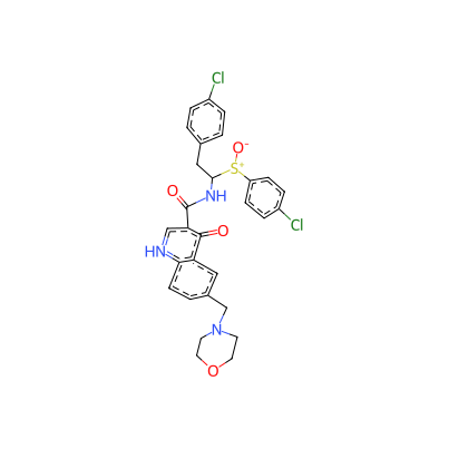 O=C(NC(Cc1ccc(Cl)cc1)[S+]([O-])c1ccc(Cl)cc1)c1c[nH]c2ccc(CN3CCOCC3)cc2c1=O